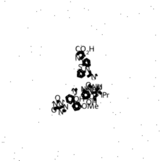 C=CCC1(CC(C)C)C(=O)NC(=O)NC1=O.CC(=O)Nc1ccc(O)cc1.CC(CN1c2ccccc2Sc2ccccc21)N(C)C.COc1cccc([C@@]2(O)CCCC[C@@H]2CN(C)C)c1.Cn1c(=O)c2c(ncn2C)n(C)c1=O.O=C(O)c1cccnc1